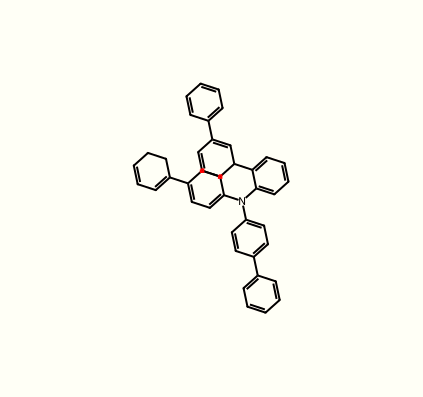 C1=CCCC(C2=CC=C(N(c3ccc(-c4ccccc4)cc3)c3ccccc3C3C=C(c4ccccc4)C=CC3)CC2)=C1